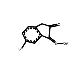 O=C1Cc2ccc(Br)cc2C1=NO